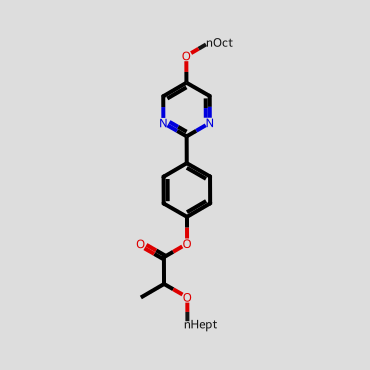 CCCCCCCCOc1cnc(-c2ccc(OC(=O)C(C)OCCCCCCC)cc2)nc1